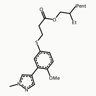 CCCC(C)C(CC)COC(=O)CCSc1ccc(OC)c(-c2cnn(C)c2)c1